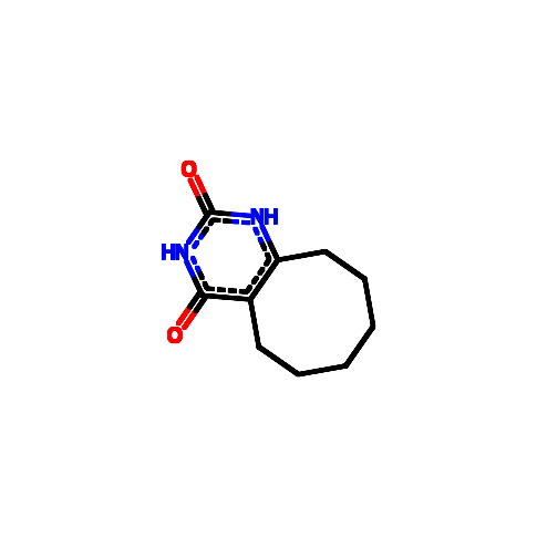 O=c1[nH]c2c(c(=O)[nH]1)CCCCCC2